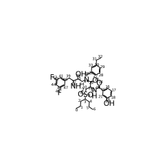 CCCC(CCC)S(=O)(=O)CC(NC(=O)c1cccc(O)c1)C(=O)N(Cc1cccc(CC)c1)C[C@@H](O)[C@@H](N)Cc1cc(F)cc(F)c1